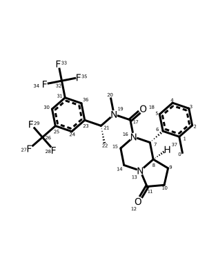 Cc1ccccc1[C@@H]1[C@H]2CCC(=O)N2CCN1C(=O)N(C)[C@H](C)c1cc(C(F)(F)F)cc(C(F)(F)F)c1